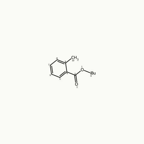 CCC(C)OC(=O)c1ccccc1C